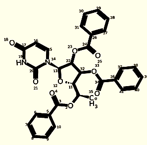 C[C@@H](OC(=O)c1ccccc1)[C@@H]1O[C@@H](n2ccc(=O)[nH]c2=O)C(OC(=O)c2ccccc2)C1OC(=O)c1ccccc1